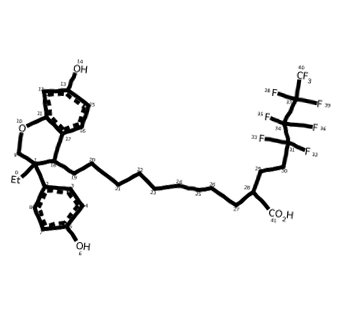 CCC1(c2ccc(O)cc2)COc2cc(O)ccc2C1CCCCCCCCCC(CCC(F)(F)C(F)(F)C(F)(F)C(F)(F)F)C(=O)O